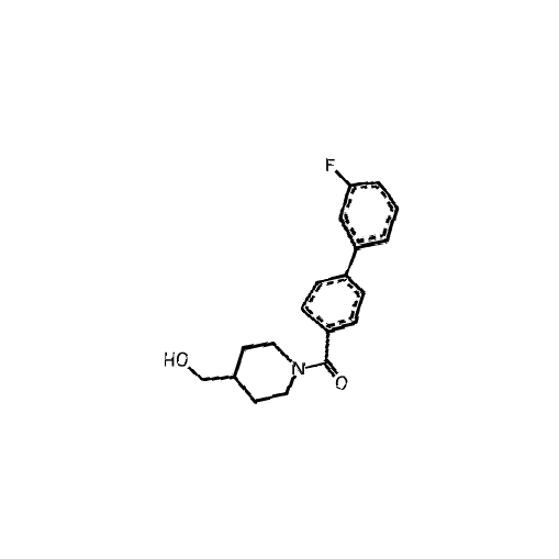 O=C(c1ccc(-c2cccc(F)c2)cc1)N1CCC(CO)CC1